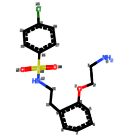 NCCOc1ccccc1CCNS(=O)(=O)c1ccc(Cl)cc1